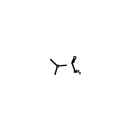 CN(C)C.NC=O